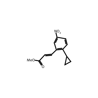 COC(=O)C=Cc1cc([N+](=O)[O-])ccc1C1CC1